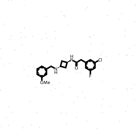 COc1cccc(CN[C@H]2C[C@H](NC(=O)Cc3cc(F)cc(Cl)c3)C2)c1